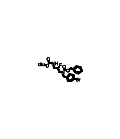 CC(C)(C)OC(=O)NCC(F)CN(Cc1ccc(Br)cc1)C(=O)OCc1ccccc1